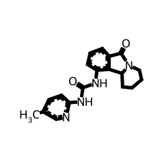 Cc1ccc(NC(=O)Nc2cccc3c2C2CCCCN2C3=O)nc1